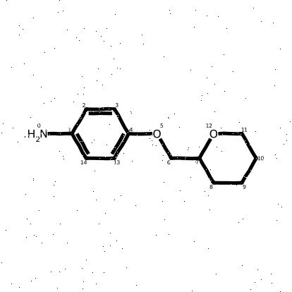 Nc1ccc(OCC2CCCCO2)cc1